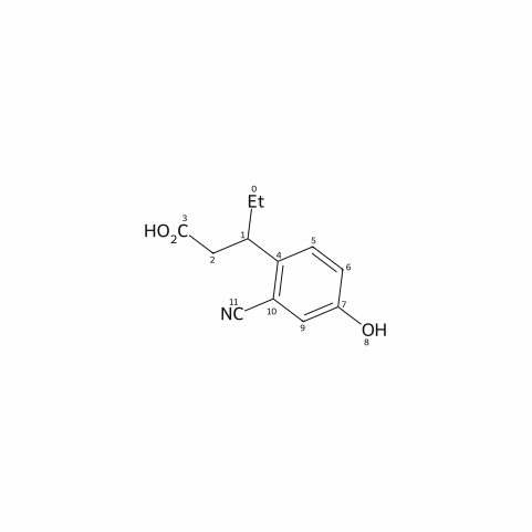 CCC(CC(=O)O)c1ccc(O)cc1C#N